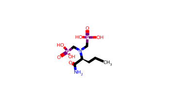 CCC[C@@H](C(N)=O)N(CP(=O)(O)O)CP(=O)(O)O